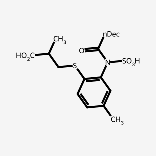 CCCCCCCCCCC(=O)N(c1cc(C)ccc1SCC(C)C(=O)O)S(=O)(=O)O